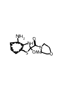 COC1(C(=O)N2CCOCC2)Nc2c(N)cccc2S1